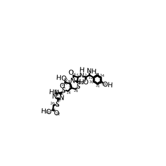 NC(C(=O)NC1C(=O)N2C(C(=O)O)=C(CSc3nc(SCC(=O)O)n[nH]3)CS[C@@H]12)c1ccc(O)cc1